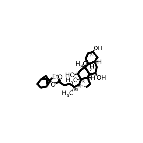 CCC1(OC(=O)CC[C@@H](C)[C@H]2CC[C@H]3[C@@H]4[C@H](O)C[C@@H]5C[C@H](O)CC[C@]5(C)[C@H]4C[C@H](O)[C@]23C)CC2CCC1C2